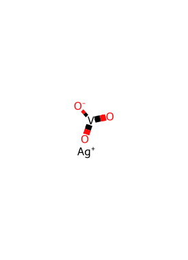 [Ag+].[O]=[V](=[O])[O-]